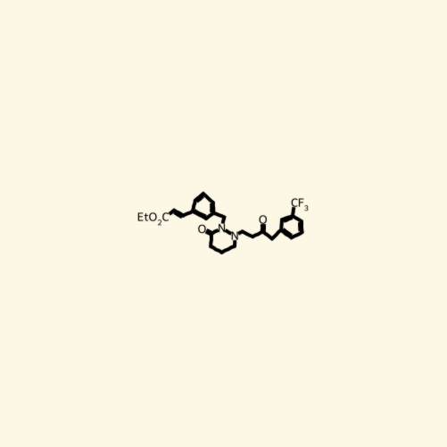 CCOC(=O)C=Cc1cccc(CN2C(=O)CCCN2CCC(=O)Cc2cccc(C(F)(F)F)c2)c1